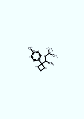 CC(C)CC(C)C1(c2ccc(Cl)cc2)CCC1